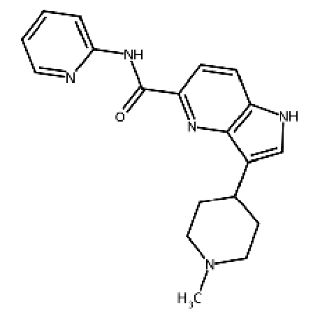 CN1CCC(c2c[nH]c3ccc(C(=O)Nc4ccccn4)nc23)CC1